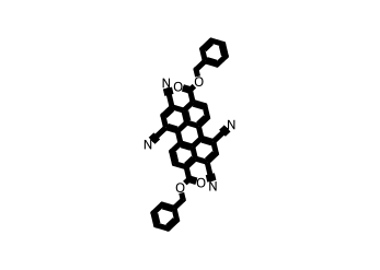 N#Cc1cc(C#N)c2c3ccc(C(=O)OCc4ccccc4)c4c(C#N)cc(C#N)c(c5ccc(C(=O)OCc6ccccc6)c1c52)c43